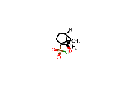 CC1(C)[C@@H]2CCC1(S(=O)(=O)Cl)C(=O)C2